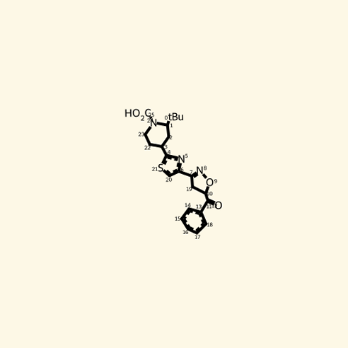 CC(C)(C)C1CC(c2nc(C3=NOC(C(=O)c4ccccc4)C3)cs2)CCN1C(=O)O